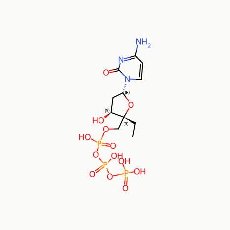 CC[C@]1(COP(=O)(O)OP(=O)(O)OP(=O)(O)O)O[C@@H](n2ccc(N)nc2=O)C[C@@H]1O